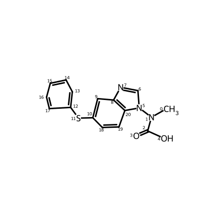 CN(C(=O)O)n1cnc2cc(Sc3ccccc3)ccc21